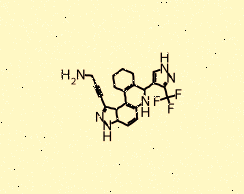 NCC#CC1=NNC2C=CC3=C(C4=C(CCCC4)C(c4c[nH]nc4C(F)(F)F)N3)C12